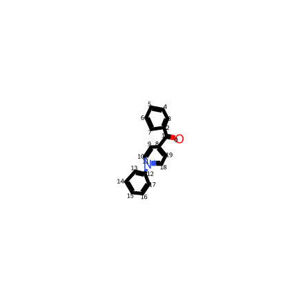 O=C(c1ccccc1)c1cc[n+](-c2ccccc2)cc1